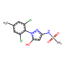 Cc1cc(Cl)c(-n2nc(NS(C)(=O)=O)cc2O)c(Cl)c1